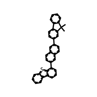 CC1(C)c2ccccc2-c2ccc(-c3ccc4cc(-c5cccc6c5sc5ccccc56)ccc4c3)cc21